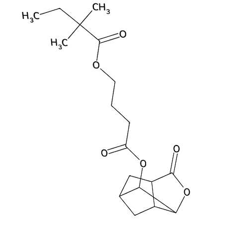 CCC(C)(C)C(=O)OCCCC(=O)OC1C2CC3C(=O)OC1C3C2